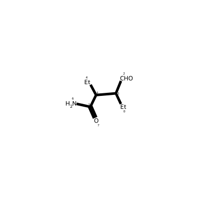 CCC(C=O)C(CC)C(N)=O